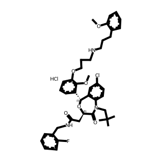 COc1ccccc1CCCNCCCOc1cccc([C@H]2O[C@H](CC(=O)NCc3ccccc3F)C(=O)N(CC(C)(C)C)c3ccc(Cl)cc32)c1OC.Cl